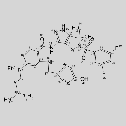 CCN(CCN(C)C)c1ccc(C(=O)Nc2n[nH]c3c2CN(S(=O)(=O)c2cc(F)cc(F)c2)C3(C)C)c(NCc2ccc(O)cc2)c1